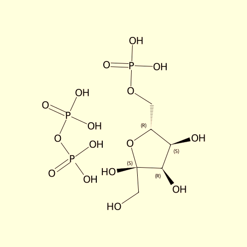 O=P(O)(O)OC[C@H]1O[C@@](O)(CO)[C@H](O)[C@@H]1O.O=P(O)(O)OP(=O)(O)O